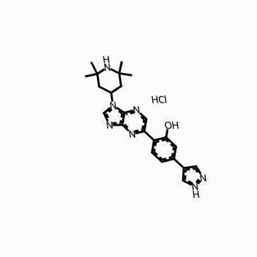 CC1(C)CC(n2cnc3nc(-c4ccc(-c5cn[nH]c5)cc4O)cnc32)CC(C)(C)N1.Cl